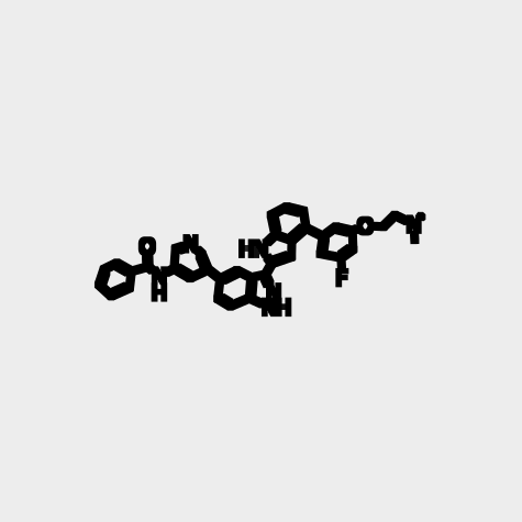 CN(C)CCOc1cc(F)cc(-c2cccc3[nH]c(-c4n[nH]c5ccc(-c6cncc(NC(=O)c7ccccc7)c6)cc45)cc23)c1